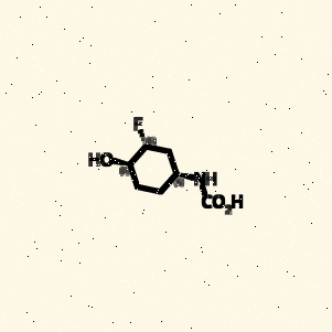 O=C(O)N[C@H]1CC[C@@H](O)[C@H](F)C1